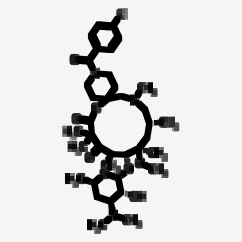 CO[C@]1(C)C[C@@H](C)CN(C)CC2(CCN(C(=O)c3ccc(Cl)cc3)CC2)OC(=O)C(C)(C)C(=O)[C@H](C)[C@H]1O[C@@H]1O[C@H](C)C[C@H](N(C)C)[C@H]1O